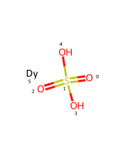 O=S(=O)(O)O.[Dy]